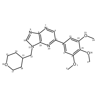 COc1cc(-c2cnc3ncn(CC4CCOCC4)c3n2)cc(OC)c1OC